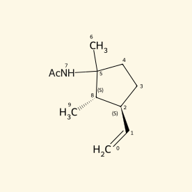 C=C[C@@H]1CCC(C)(NC(C)=O)[C@H]1C